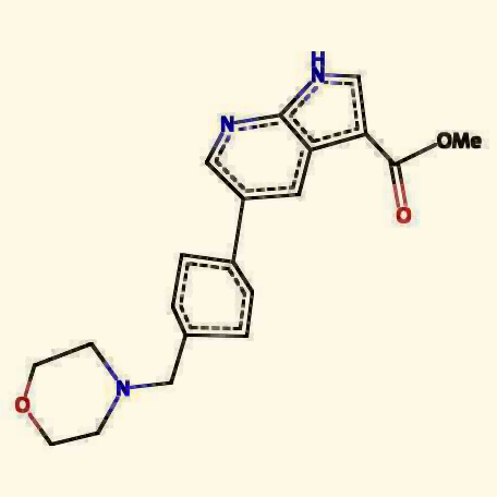 COC(=O)c1c[nH]c2ncc(-c3ccc(CN4CCOCC4)cc3)cc12